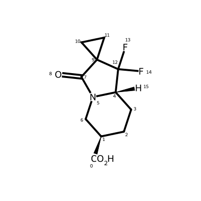 O=C(O)[C@@H]1CC[C@@H]2N(C1)C(=O)C1(CC1)C2(F)F